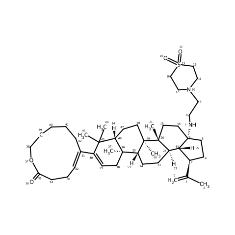 C=C(C)[C@@H]1CC[C@]2(NCCN3CCS(=O)(=O)CC3)CC[C@]3(C)[C@H](CC[C@@H]4[C@@]5(C)CC=C(/C6=C/CCC(=O)OCCCCC6)C(C)(C)[C@@H]5CC[C@]43C)[C@@H]12